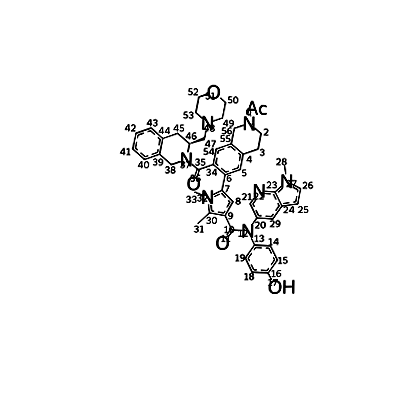 CC(=O)N1CCc2cc(-c3cc(C(=O)N(c4ccc(O)cc4)c4cnc5c(ccn5C)c4)c(C)n3C)c(C(=O)N3Cc4ccccc4C[C@H]3CN3CCOCC3)cc2C1